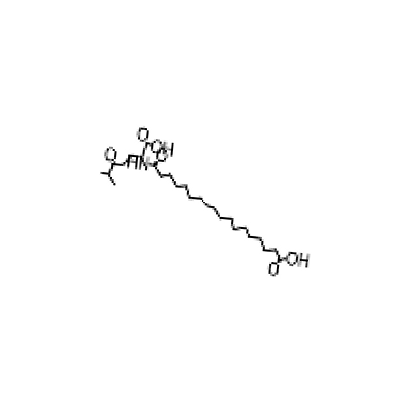 CC(C)C(=O)CC[C@H](NC(=O)CCCCCCCCCCCCCCCCC(=O)O)C(=O)O